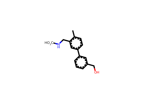 Cc1ccc(-c2cccc(CO)c2)cc1CNC(=O)O